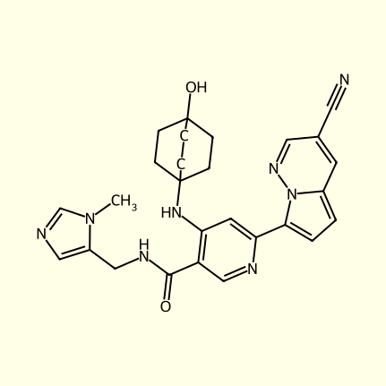 Cn1cncc1CNC(=O)c1cnc(-c2ccc3cc(C#N)cnn23)cc1NC12CCC(O)(CC1)CC2